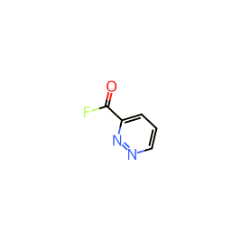 O=C(F)c1cccnn1